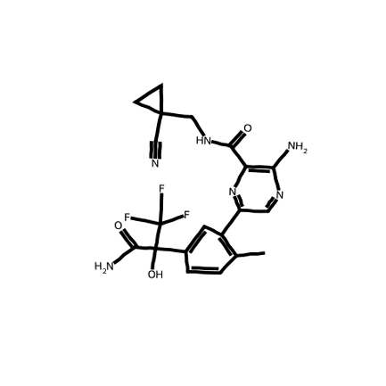 Cc1ccc(C(O)(C(N)=O)C(F)(F)F)cc1-c1cnc(N)c(C(=O)NCC2(C#N)CC2)n1